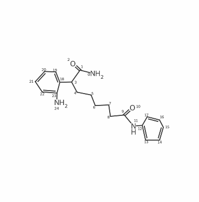 NC(=O)C(CCCCCC(=O)Nc1ccccc1)c1ccccc1N